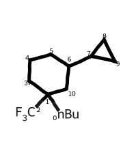 CCCCC1(C(F)(F)F)[CH]CCC(C2CC2)C1